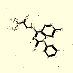 CN(C)C(=O)CNc1nc(=O)n(-c2ccccc2)c2cc(Cl)ccc12